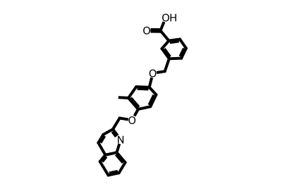 Cc1cc(OCc2cccc(C(=O)O)c2)ccc1OCc1ccc2ccccc2n1